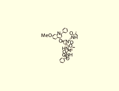 C=C[C@@H]1C[C@]1(NC(=O)[C@@H]1C[C@@H](Oc2cc(-c3ccccc3)nc3cc(OC)ccc23)CN1C(=O)CNC(=O)C(=C)C)C(=O)NS(=O)(=O)c1ccccc1